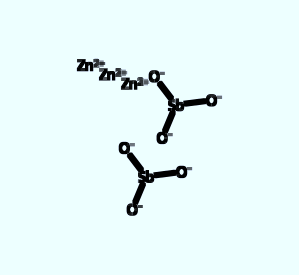 [O-][Sb]([O-])[O-].[O-][Sb]([O-])[O-].[Zn+2].[Zn+2].[Zn+2]